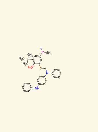 BP(I)c1cc(SCN(c2ccccc2)c2ccc(Nc3ccccc3)cc2)c(O)c(C(C)(C)C)c1